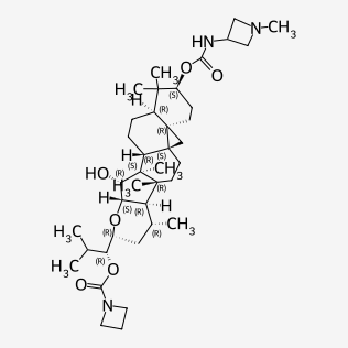 CC(C)[C@@H](OC(=O)N1CCC1)[C@H]1C[C@@H](C)[C@H]2[C@H](O1)[C@H](O)[C@@]1(C)[C@@H]3CC[C@H]4C(C)(C)[C@@H](OC(=O)NC5CN(C)C5)CC[C@@]45C[C@@]35CC[C@]21C